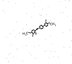 CCCc1ccc(C#Cc2ccc(-c3ccc(CC)c(F)c3)cc2)c(F)c1F